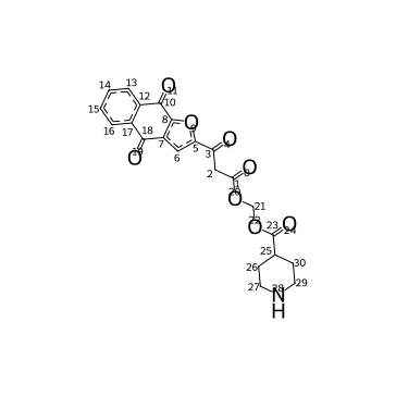 O=C(CC(=O)c1cc2c(o1)C(=O)c1ccccc1C2=O)OCOC(=O)C1CCNCC1